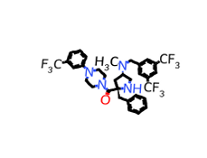 CN(Cc1cc(C(F)(F)F)cc(C(F)(F)F)c1)[C@@H]1CN[C@](Cc2ccccc2)(C(=O)N2CCN(c3cccc(C(F)(F)F)c3)CC2)C1